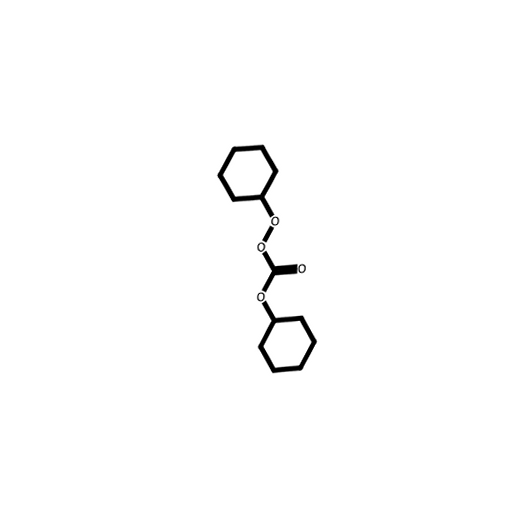 O=C(OOC1CCCCC1)OC1CCCCC1